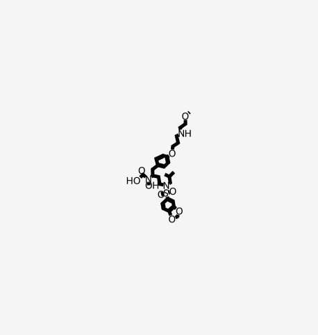 COCCNCCCOc1ccc(CC(CCN(CC(C)C)S(=O)(=O)c2ccc3c(c2)OCO3)N(O)C(=O)O)cc1